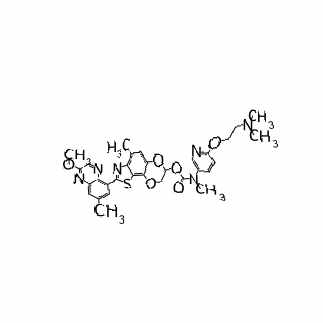 COc1cnc2c(-c3nc4c(C)cc5c(c4s3)OCC(OC(=O)N(C)c3ccc(OCCN(C)C)nc3)O5)cc(C)cc2n1